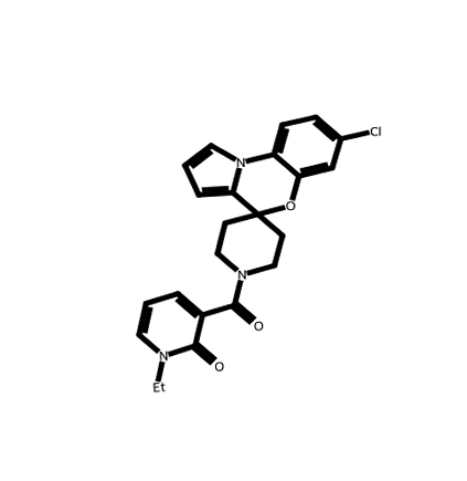 CCn1cccc(C(=O)N2CCC3(CC2)Oc2cc(Cl)ccc2-n2cccc23)c1=O